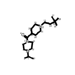 CC(C)N1CCN(C(=O)C2CCN(CCC(C)(C)C)CC2)CC1